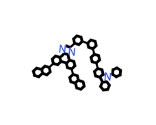 c1ccc(-n2c3ccccc3c3ccc(-c4ccc(-c5cccc(-c6cccc(-c7cnc8c9ccc(-c%10ccc%11ccccc%11c%10)cc9c9cc(-c%10ccc%11ccccc%11c%10)ccc9c8n7)c6)c5)cc4)cc32)cc1